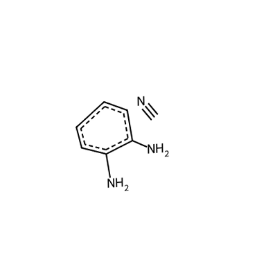 C#N.Nc1ccccc1N